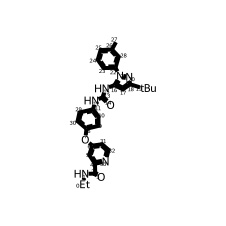 CCNC(=O)c1cc(Oc2ccc(NC(=O)Nc3cc(C(C)(C)C)nn3-c3cccc(C)c3)cc2)ccn1